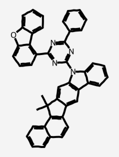 CC1(C)c2cc3c(cc2-c2ccc4ccccc4c21)c1ccccc1n3-c1nc(-c2ccccc2)nc(-c2cccc3oc4ccccc4c23)n1